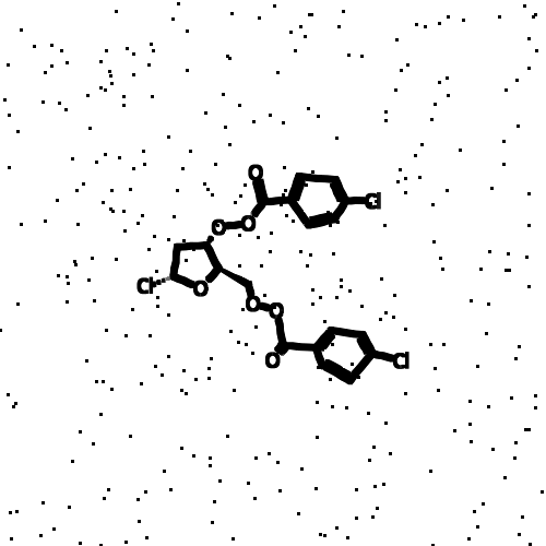 O=C(OOC[C@H]1O[C@H](Cl)C[C@@H]1OOC(=O)c1ccc(Cl)cc1)c1ccc(Cl)cc1